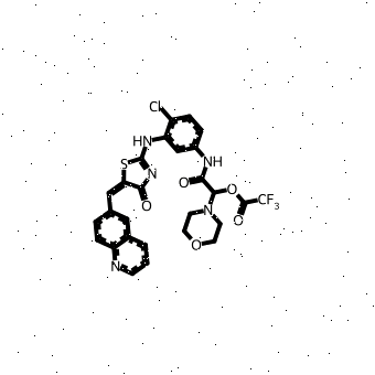 O=C1N=C(Nc2cc(NC(=O)C(OC(=O)C(F)(F)F)N3CCOCC3)ccc2Cl)SC1=Cc1ccc2ncccc2c1